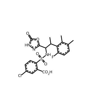 Cc1ccc(F)c(C(C)C(NS(=O)(=O)c2ccc(Cl)cc2C(=O)O)c2n[nH]c(=O)o2)c1C